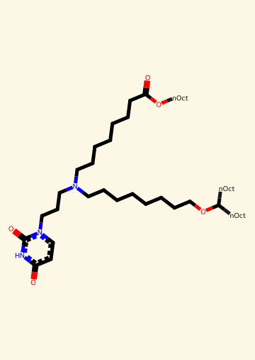 CCCCCCCCOC(=O)CCCCCCCN(CCCCCCCCOC(CCCCCCCC)CCCCCCCC)CCCn1ccc(=O)[nH]c1=O